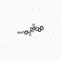 COc1ccc(Nc2cnc3c(n2)N(Cc2ccc4ncccc4c2)NN3)cn1